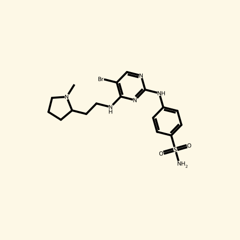 CN1CCCC1CCNc1nc(Nc2ccc(S(N)(=O)=O)cc2)ncc1Br